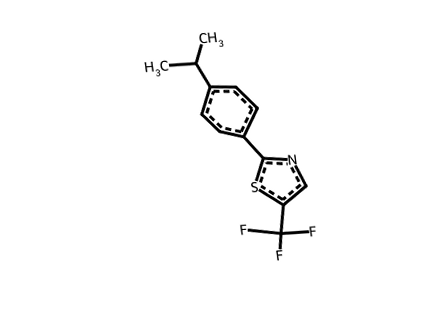 CC(C)c1ccc(-c2ncc(C(F)(F)F)s2)cc1